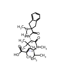 C/C(=C\[C@H](C(C)C)N(C)C(=O)[C@@H](NC(=O)C1(N(C)C)Cc2ccccc2C1)C(C)(C)C)C(=O)O